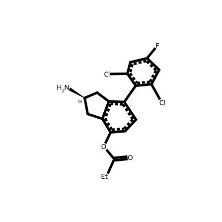 CCC(=O)Oc1ccc(-c2c(Cl)cc(F)cc2Cl)c2c1C[C@@H](N)C2